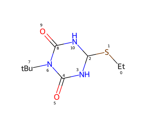 CCSC1NC(=O)N(C(C)(C)C)C(=O)N1